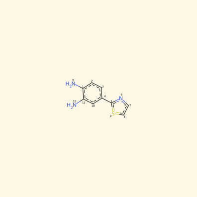 Nc1ccc(-c2nccs2)cc1N